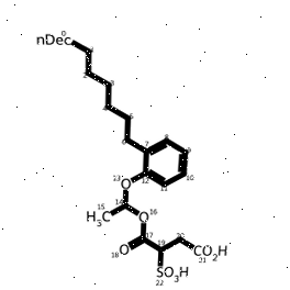 CCCCCCCCCCCCCCCCc1ccccc1OC(C)OC(=O)C(CC(=O)O)S(=O)(=O)O